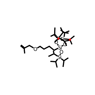 C=C(C)COCCCC[Si](O[Si](C(C)C)(C(C)C)C(C)C)(O[Si](C(C)C)(C(C)C)C(C)C)O[Si](C(C)C)(C(C)C)C(C)C